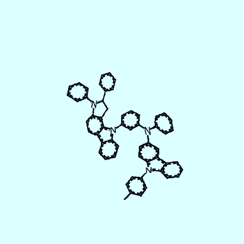 Cc1ccc(-n2c3ccccc3c3cc(N(c4ccccc4)c4cccc(-n5c6ccccc6c6ccc7c(c65)CC(c5ccccc5)N7c5ccccc5)c4)ccc32)cc1